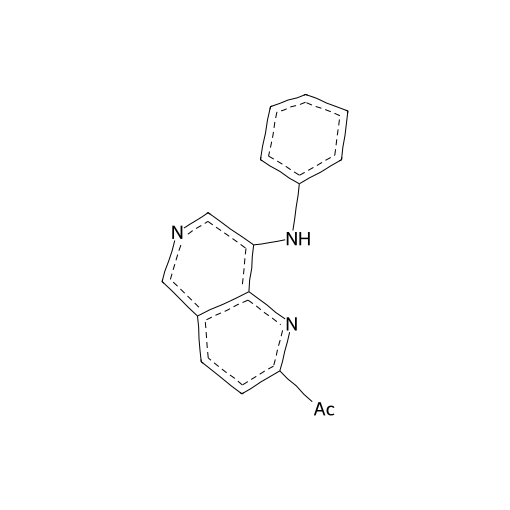 CC(=O)c1ccc2cncc(Nc3ccccc3)c2n1